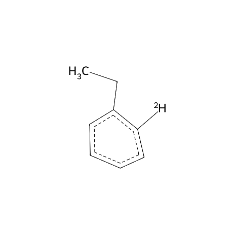 [2H]c1ccccc1CC